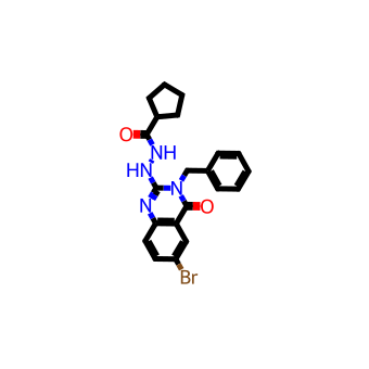 O=C(NNc1nc2ccc(Br)cc2c(=O)n1Cc1ccccc1)C1CCCC1